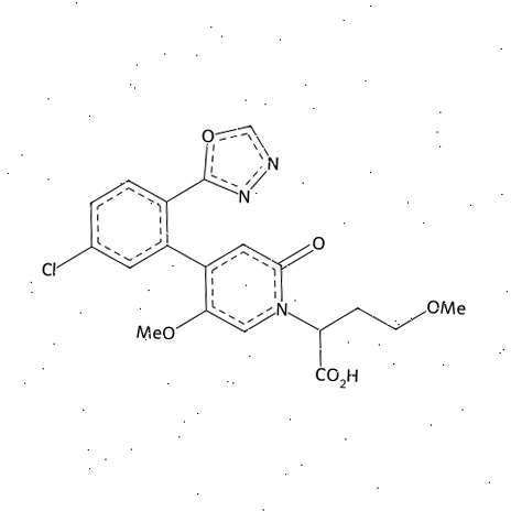 COCCC(C(=O)O)n1cc(OC)c(-c2cc(Cl)ccc2-c2nnco2)cc1=O